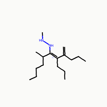 C=C(CCC)/C(CCC)=C(\NNC)C(C)CCCC